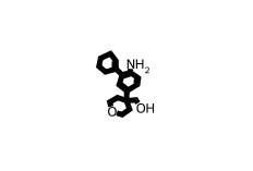 Nc1ccc(C2(CO)CCOCC2)cc1C1=CCCCC1